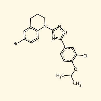 CC(C)Oc1ccc(-c2nc(N3CCCc4cc(Br)ccc43)no2)cc1Cl